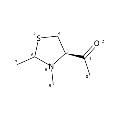 CC(=O)[C@@H]1CSC(C)N1C